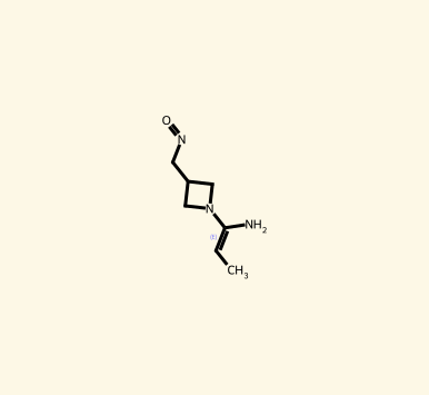 C/C=C(\N)N1CC(CN=O)C1